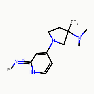 CC(C)/N=c1/cc(N2CCC(N(C)C)(C(F)(F)F)C2)cc[nH]1